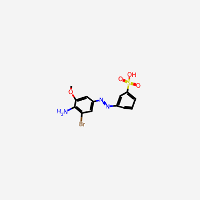 COc1cc(N=Nc2cccc(S(=O)(=O)O)c2)cc(Br)c1N